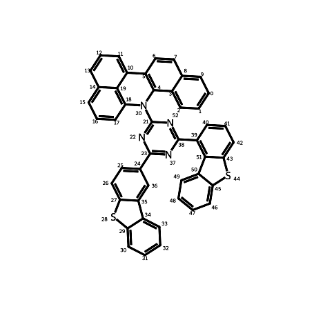 c1ccc2c3c(ccc2c1)-c1cccc2cccc(c12)N3c1nc(-c2ccc3sc4ccccc4c3c2)nc(-c2cccc3sc4ccccc4c23)n1